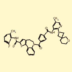 Cc1cnc(N2CC3(CCCOC3)C2)c(NC(=O)c2ccc(C(=O)N3CCc4cc(C(=O)Nc5c(C)cccc5F)sc4-c4ccccc43)cc2)c1